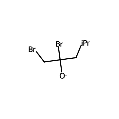 CC(C)CC([O])(Br)CBr